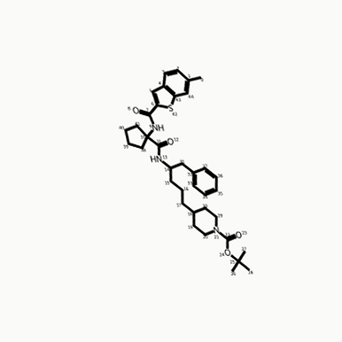 Cc1ccc2cc(C(=O)NC3(C(=O)NC(CCCC4CCN(C(=O)OC(C)(C)C)CC4)Cc4ccccc4)CCCC3)sc2c1